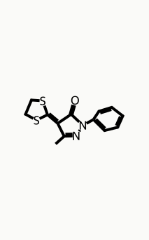 CC1=NN(c2ccccc2)C(=O)C1=C1SCCS1